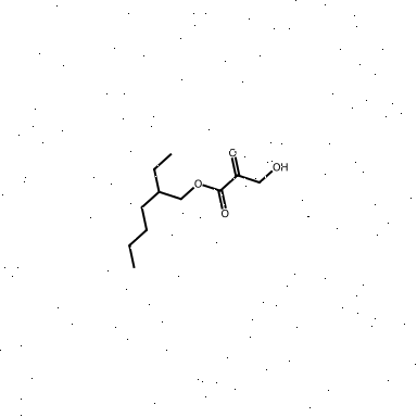 CCCCC(CC)COC(=O)C(=O)CO